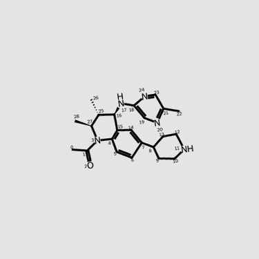 CC(=O)N1c2ccc(C3CCNCC3)cc2[C@H](Nc2cnc(C)cn2)[C@@H](C)[C@@H]1C